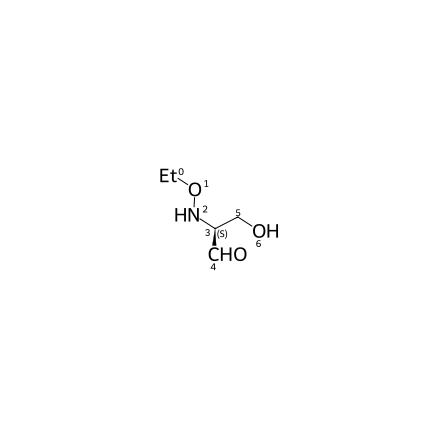 CCON[C@H](C=O)CO